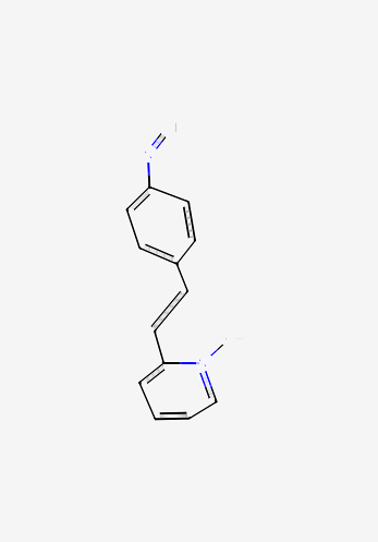 C=Nc1ccc(C=Cc2cccc[n+]2C)cc1